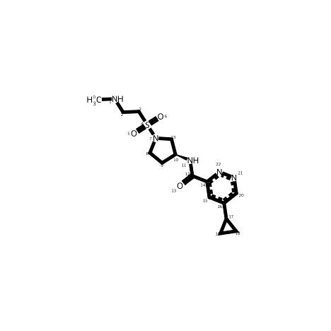 CNCCS(=O)(=O)N1CC[C@H](NC(=O)c2cc(C3CC3)cnn2)C1